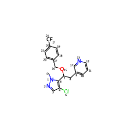 Cn1ncc(Cl)c1C(Cc1cccnc1)OCc1ccc(C(F)(F)F)cc1